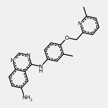 Cc1cccc(COc2ccc(Nc3ncnc4ccc(N)cc34)cc2C)n1